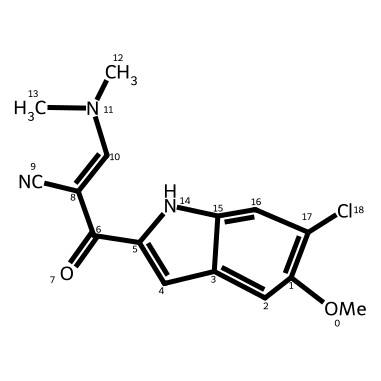 COc1cc2cc(C(=O)C(C#N)=CN(C)C)[nH]c2cc1Cl